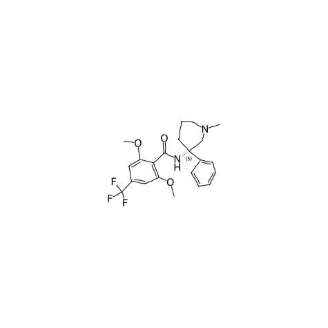 COc1cc(C(F)(F)F)cc(OC)c1C(=O)N[C@]1(c2ccccc2)CCCN(C)C1